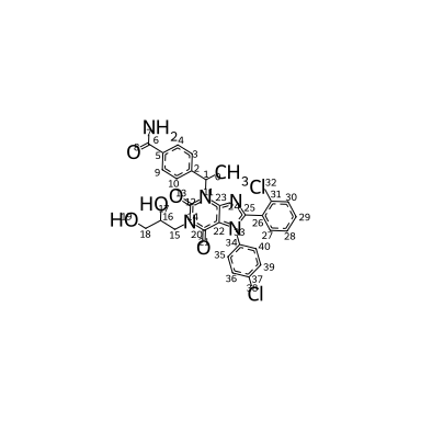 CC(c1ccc(C(N)=O)cc1)n1c(=O)n(CC(O)CO)c(=O)c2c1nc(-c1ccccc1Cl)n2-c1ccc(Cl)cc1